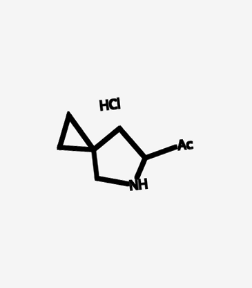 CC(=O)C1CC2(CC2)CN1.Cl